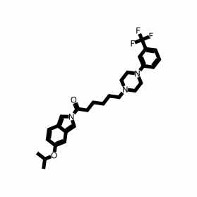 CC(C)Oc1ccc2cn(C(=O)CCCCCN3CCN(c4cccc(C(F)(F)F)c4)CC3)cc2c1